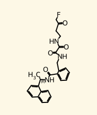 C[C@@H](NC(=O)c1ccccc1CNC(=O)C(=O)NCCC(=O)CF)c1cccc2ccccc12